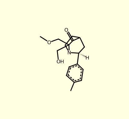 COCC1(CO)C(=O)C2CCN1[C@H](c1ccc(C)cc1)C2